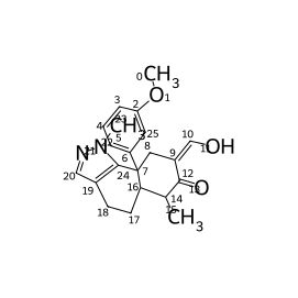 COc1cccc(C23CC(=CO)C(=O)C(C)C2CCc2cnn(C)c23)c1